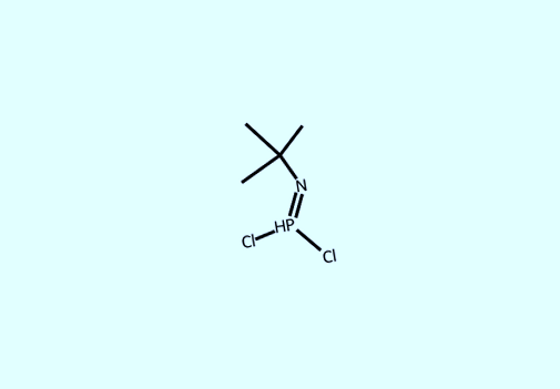 CC(C)(C)N=[PH](Cl)Cl